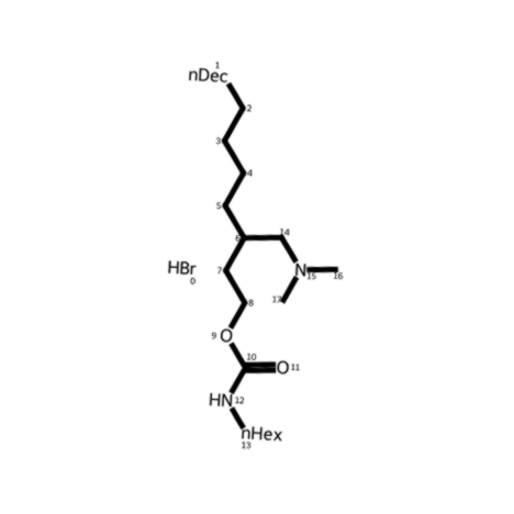 Br.CCCCCCCCCCCCCCC(CCOC(=O)NCCCCCC)CN(C)C